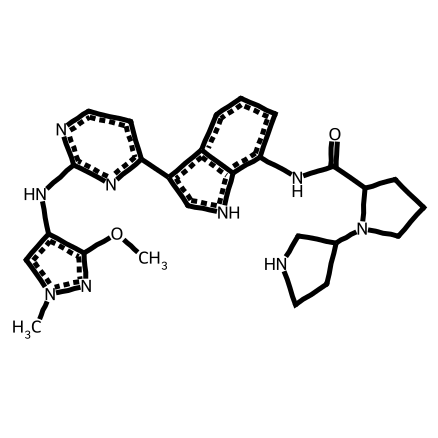 COc1nn(C)cc1Nc1nccc(-c2c[nH]c3c(NC(=O)C4CCCN4C4CCNC4)cccc23)n1